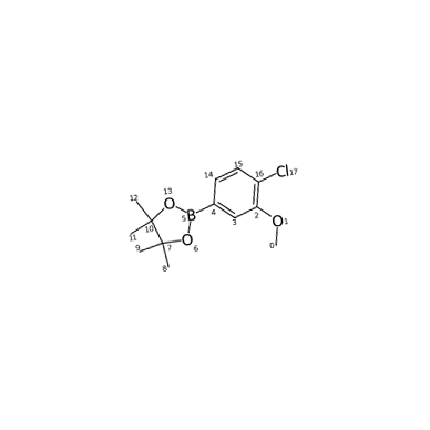 COc1cc(B2OC(C)(C)C(C)(C)O2)ccc1Cl